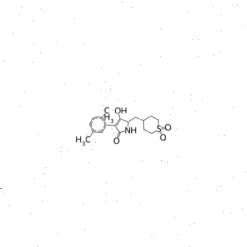 Cc1ccc(C)c(C2=C(O)C(CC3CCS(=O)(=O)CC3)NC2=O)c1